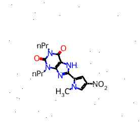 CCCn1c(=O)c2[nH]c(-c3cc([N+](=O)[O-])cn3C)nc2n(CCC)c1=O